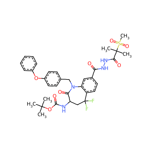 CC(C)(C)OC(=O)NC1CC(F)(F)c2ccc(C(=O)NNC(=O)C(C)(C)S(C)(=O)=O)cc2N(Cc2ccc(Oc3ccccc3)cc2)C1=O